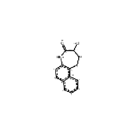 O=C1Nc2ccc3ccccc3c2CCC1Cl